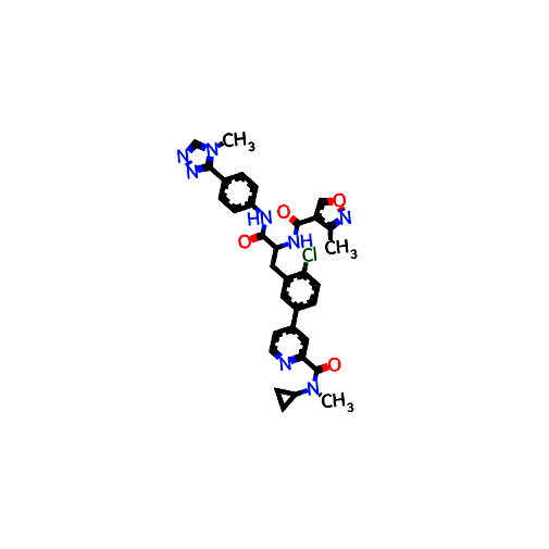 Cc1nocc1C(=O)NC(Cc1cc(-c2ccnc(C(=O)N(C)C3CC3)c2)ccc1Cl)C(=O)Nc1ccc(-c2nncn2C)cc1